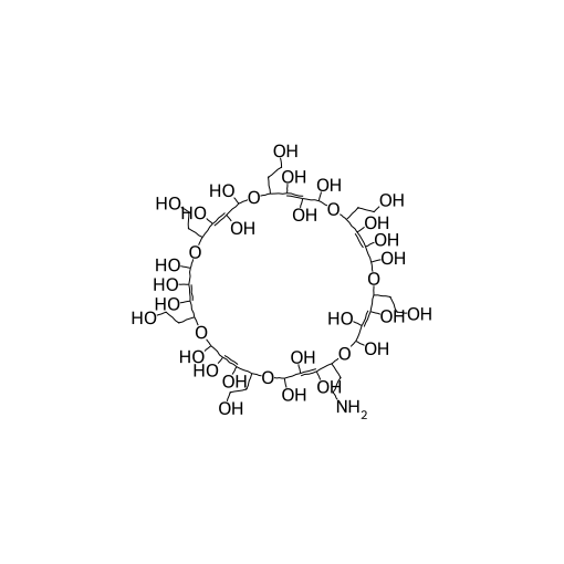 NCCC1OC(O)/C(O)=C(\O)C(CCO)OC(O)/C(O)=C(/O)C(CCO)OC(O)/C(O)=C(\O)C(CCO)OC(O)/C(O)=C(\O)C(CCO)OC(O)/C(O)=C(/O)C(CCO)OC(O)/C(O)=C(/O)C(CCO)OC(O)/C(O)=C/1O